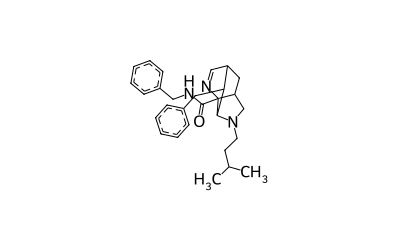 CC(C)CCN1CC2CC3C=NC2(C(=O)NCc2ccccc2)C1C3Cc1ccccc1